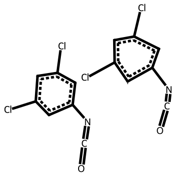 O=C=Nc1[c]c(Cl)cc(Cl)c1.O=C=Nc1cc(Cl)cc(Cl)c1